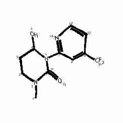 CN1CCC(O)N(c2cc(C(F)(F)F)ccn2)C1=O